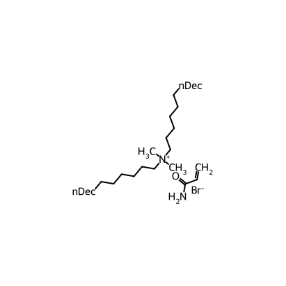 C=CC(N)=O.CCCCCCCCCCCCCCCC[N+](C)(C)CCCCCCCCCCCCCCCC.[Br-]